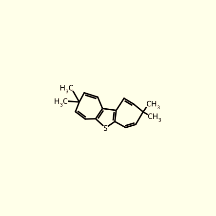 CC1(C)C=Cc2sc3c(c2C=C1)C=CC(C)(C)C=C3